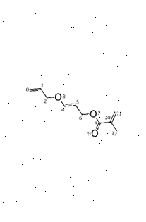 C=CCOC=CCOC(=O)C(=C)C